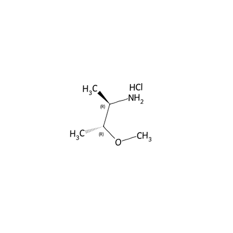 CO[C@H](C)[C@@H](C)N.Cl